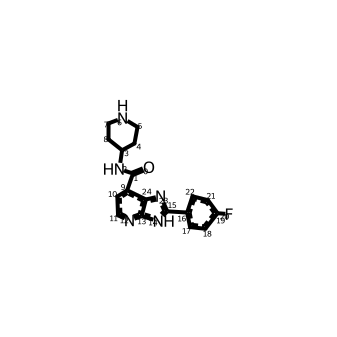 O=C(NC1CCNCC1)c1ccnc2[nH]c(-c3ccc(F)cc3)nc12